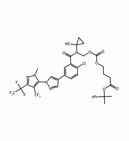 CCCC(C)(C)OC(=O)CCCOC(=O)OCN(C(=O)c1cc(-c2cnn(-c3c(C(F)(F)F)c(C(F)(F)C(F)(F)F)nn3C)c2)ccc1Cl)C1(C#N)CC1